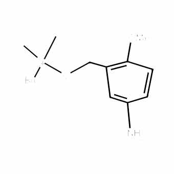 COc1ccc(N)cc1CO[Si](C)(C)C(C)(C)C